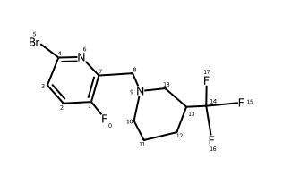 Fc1ccc(Br)nc1CN1CCCC(C(F)(F)F)C1